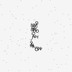 O=C1CCC(N2C(=O)c3ccc(NCCCC4CC(n5cc(-c6cccc(N7CCC7)n6)cn5)C4)cc3C2=O)C(=O)N1